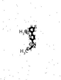 COCc1nnc(-c2ccc(-c3cc(F)ccc3OC)nc2)o1